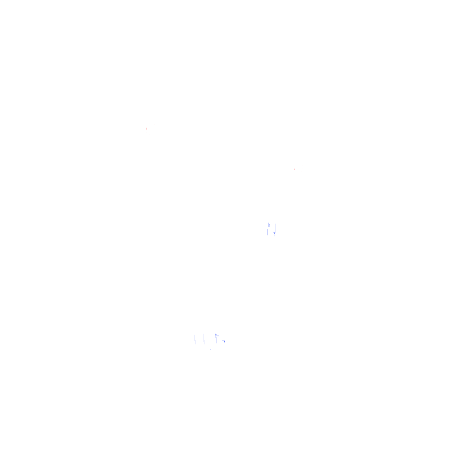 N[C@H]1CCN(C(=O)C2CCOCC2)C1